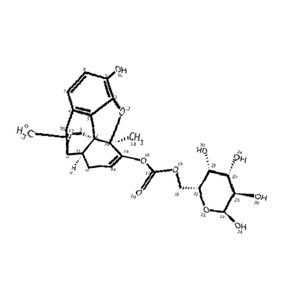 CN1CC[C@]23c4c5ccc(O)c4O[C@@]2(C)C(OC(=O)OC[C@H]2O[C@H](O)[C@H](O)[C@@H](O)[C@H]2O)=CC[C@H]3C1C5